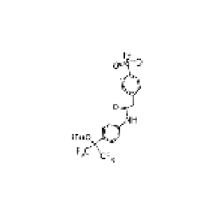 CCS(=O)(=O)c1ccc(CC(=O)Nc2ccc(C(OCC(C)C)(C(F)(F)F)C(F)(F)F)cc2)cc1